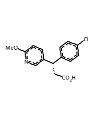 COc1ccc([C@@H](CC(=O)O)c2ccc(Cl)cc2)cn1